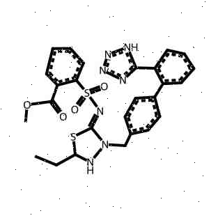 CCC1NN(Cc2ccc(-c3ccccc3-c3nnn[nH]3)cc2)C(=NS(=O)(=O)c2ccccc2C(=O)OC)S1